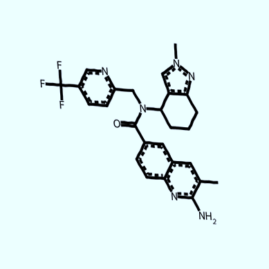 Cc1cc2cc(C(=O)N(Cc3ccc(C(F)(F)F)cn3)C3CCCc4nn(C)cc43)ccc2nc1N